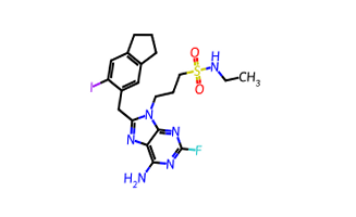 CCNS(=O)(=O)CCCn1c(Cc2cc3c(cc2I)CCC3)nc2c(N)nc(F)nc21